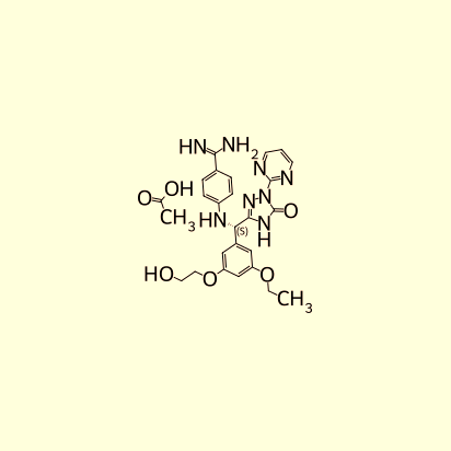 CC(=O)O.CCOc1cc(OCCO)cc([C@H](Nc2ccc(C(=N)N)cc2)c2nn(-c3ncccn3)c(=O)[nH]2)c1